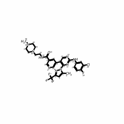 Cc1cc(C(F)(F)F)nn1-c1nc(Nc2ccc(F)c(Cl)c2)ncc1-c1cncc(C(=O)NCCN2CCN(C)CC2)c1